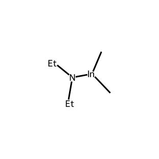 CC[N](CC)[In]([CH3])[CH3]